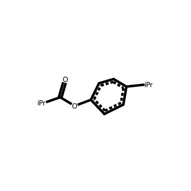 CC(C)C(=O)Oc1ccc(C(C)C)cc1